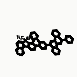 C[Si]1(C)c2ccc3ccccc3c2-c2ccc3c4ccc(-c5cc6c7ccccc7c(-c7ccccc7)cc6c6ccccc56)cc4c4ccccc4c3c21